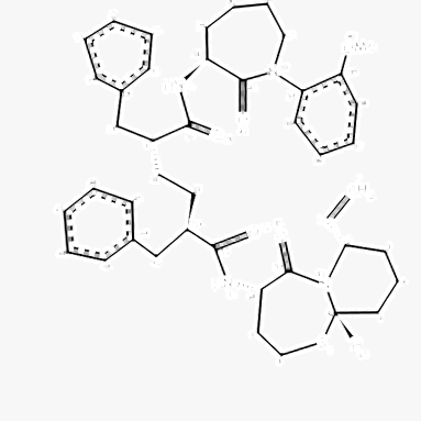 C=C[C@@H]1CCC[C@@H]2SCC[C@H](NC(=O)[C@H](CC[C@H](Cc3ccccc3)C(=O)N[C@H]3CCCCN(c4ccccc4OC)C3=O)Cc3ccccc3)C(=O)N12